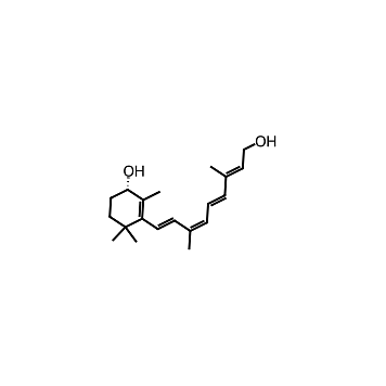 CC1=C(/C=C/C(C)=C\C=C\C(C)=C\CO)C(C)(C)CC[C@@H]1O